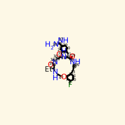 CCC1NCCOc2cc(F)ccc2CC[C@@H](C)NC(=O)[C@@H](Cc2ccc(C(=N)N)cc2)NC(=O)[C@@H](C)N(C)C1=O